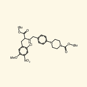 COc1cc(CC(NCc2ccc(N3CCN(C(=O)OC(C)(C)C)CC3)cc2)C(=O)OC(C)(C)C)c(Cl)cc1[N+](=O)[O-]